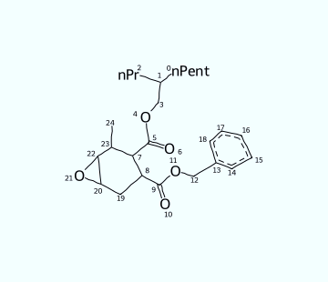 CCCCCC(CCC)COC(=O)C1C(C(=O)OCc2ccccc2)CC2OC2C1C